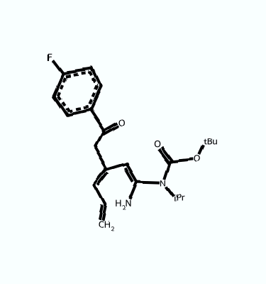 C=C/C=C(\C=C(/N)N(C(=O)OC(C)(C)C)C(C)C)CC(=O)c1ccc(F)cc1